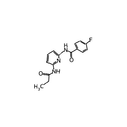 CCC(=O)Nc1cccc(NC(=O)c2ccc(F)cc2)n1